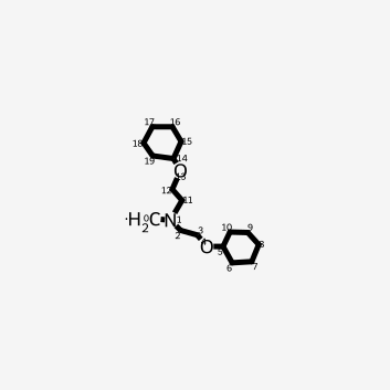 [CH2]N(CCOC1CCCCC1)CCOC1CCCCC1